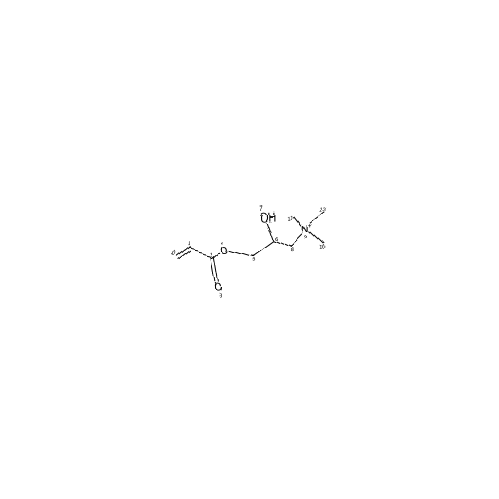 C=CC(=O)OCC(O)C[N+](C)(C)C